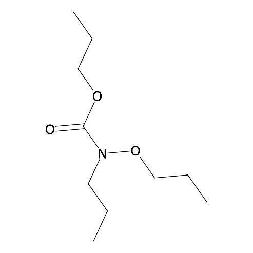 CCCOC(=O)N(CCC)OCCC